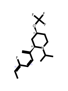 C=C(/C=C\C(F)=C/C)[C@H]1C[C@@H](OC(F)(F)F)CCN1C(C)C